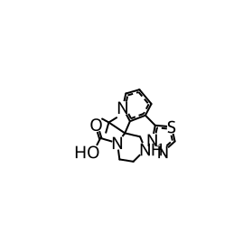 CC(C)(C)C1(c2ncccc2-c2nncs2)CNCCN1C(=O)O